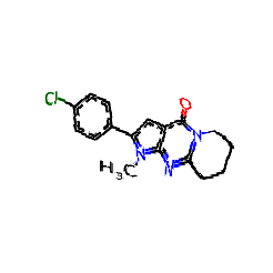 Cn1c(-c2ccc(Cl)cc2)cc2c(=O)n3c(nc21)CCCC3